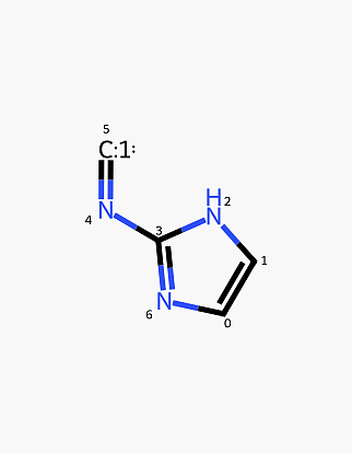 c1c[nH]c(N=[C:1])n1